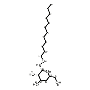 CCCCCCCCCCCCOS[C@@H]1OC(CO)CC(O)[C@@H]1O